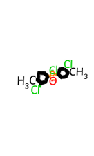 Cc1ccc(P(=O)(Cl)c2ccc(C)c(Cl)c2)cc1Cl